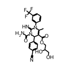 CC1=C(C(=O)OCC(O)CO)C(c2ccc(C#N)cc2)N(C(N)=O)C(=N)N1c1cccc(C(F)(F)F)c1